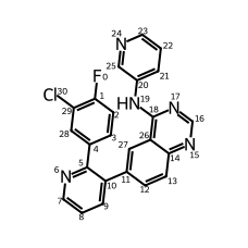 Fc1ccc(-c2ncccc2-c2ccc3ncnc(Nc4cccnc4)c3c2)cc1Cl